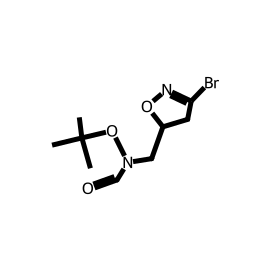 CC(C)(C)ON(C=O)CC1CC(Br)=NO1